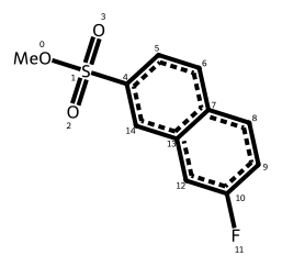 COS(=O)(=O)c1ccc2ccc(F)cc2c1